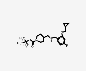 CC(C)(C)OC(=O)N1CCC(CNCc2ccc(F)cc2OCC2CC2)CC1